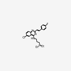 CCN(CC)CCCNc1nc(C=Cc2ccc(F)cc2)nc2ccc(Cl)cc12